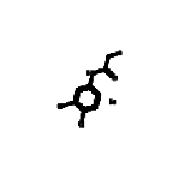 CCC(=O)Nc1ccc(Cl)c(Cl)c1.[Fe]